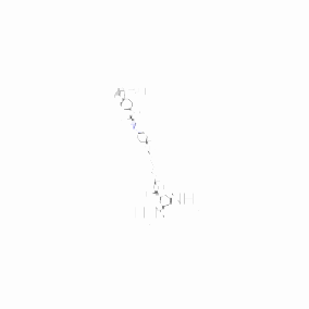 CCCCOc1ccc(OC(=O)/C=C/c2ccc(OCCCCCCCOC(=O)c3cc(N)cc(N)c3)cc2)cc1